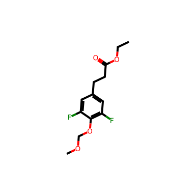 CCOC(=O)CCc1cc(F)c(OCOC)c(F)c1